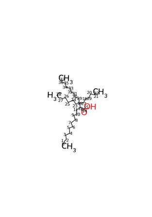 CCCCCCCCCCCCC(C(=O)O)C(CCCCCC)(CCCCCC)CCCCCCCCC